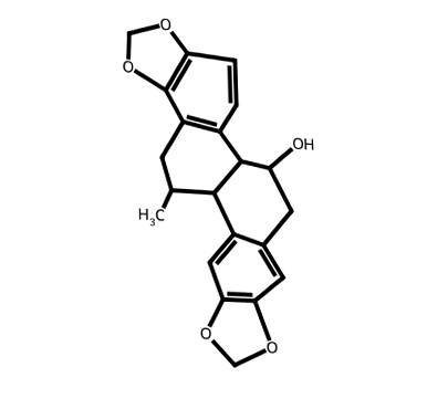 CC1Cc2c(ccc3c2OCO3)C2C(O)Cc3cc4c(cc3C12)OCO4